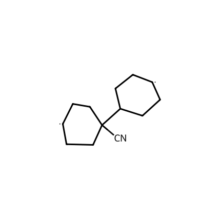 N#CC1(C2CC[CH]CC2)CC[CH]CC1